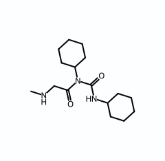 CNCC(=O)N(C(=O)NC1CCCCC1)C1CCCCC1